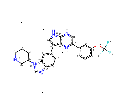 FC(F)(F)Oc1cccc(-c2cnc3[nH]cc(-c4ccc5ncn(C6CCCNC6)c5c4)c3n2)c1